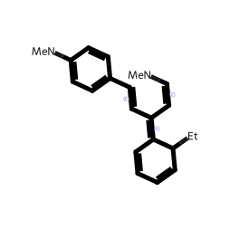 CCC1C=CC=C/C1=C(/C=C\NC)\C=C\c1ccc(NC)cc1